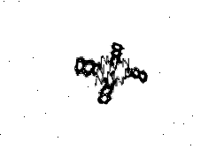 c1ccc2cc3c(cc2c1)C1=NC/3=N\c2c3cc4ccccc4cc3c3n2Cn2/c(c4cc5ccccc5cc4/c2=N/C2=NC(=N\3)/c3cc4ccccc4cc32)=N\1